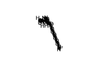 COc1cccc2cc(-c3nc([C@H]4CC[C@H](C(=O)NCCOCCOCCOCCOCCOCCOCCN=[N+]=[N-])CC4)n4ncnc(N)c34)[nH]c12